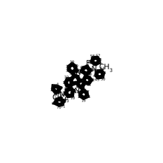 Cc1ccccc1N(c1ccc(-n2c3ccccc3c3c4ccccc4c4c(c5ccccc5c5c6ccccc6n(-c6ccc(N(c7ccccc7C)c7ccccc7F)cc6)c54)c32)cc1)c1ccccc1F